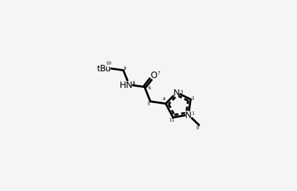 Cn1cnc(CC(=O)NCC(C)(C)C)c1